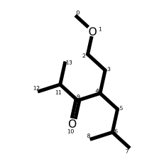 COCCC(CC(C)C)C(=O)C(C)C